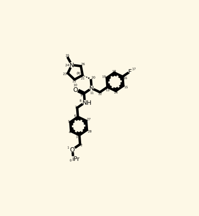 CC(C)OCc1ccc(CNC(=O)N(Cc2ccc(F)cc2)C[C@@H]2CCN(C)C2)cc1